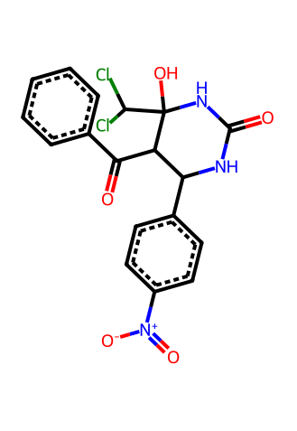 O=C1NC(c2ccc([N+](=O)[O-])cc2)C(C(=O)c2ccccc2)C(O)(C(Cl)Cl)N1